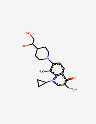 Cc1c(N2CCC(C(O)CO)CC2)ccc2c(=O)c(C(=O)O)cn(C3CC3)c12